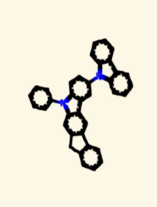 c1ccc(-n2c3ccc(-n4c5ccccc5c5ccccc54)cc3c3cc4c(cc32)Cc2ccccc2-4)cc1